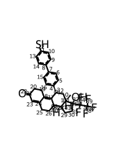 C[C@]12C[C@H](c3ccc(-c4ccc(S)cc4)cc3)C3=C4CCC(=O)C=C4CC[C@H]3[C@@H]1CCC2(O)C(F)(F)C(F)(F)F